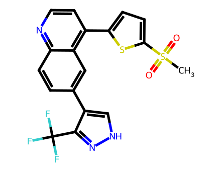 CS(=O)(=O)c1ccc(-c2ccnc3ccc(-c4c[nH]nc4C(F)(F)F)cc23)s1